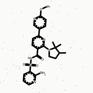 CC(C)Oc1ccc(-c2ccc(C(=O)NS(=O)(=O)c3cccnc3N)c(N3CCC(C)C3(C)C)n2)cn1